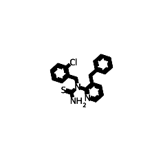 NC(=S)N(Cc1ccccc1Cl)c1ncccc1Cc1ccccc1